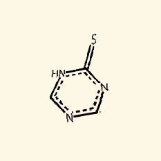 S=c1n[c]nc[nH]1